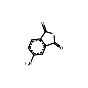 Nc1ccc2c(c1)C(=O)OC2=O